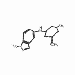 CC1CC(C)CC(Nc2ccc3c(cnn3C)c2)C1